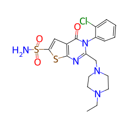 CCN1CCN(Cc2nc3sc(S(N)(=O)=O)cc3c(=O)n2-c2ccccc2Cl)CC1